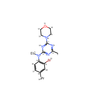 CCN(c1nc(C)nc(N2CCOCC2)n1)c1ccc(C(C)C)cc1Br